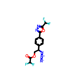 [N-]=[N+]=NC(COC(=O)C(F)F)c1ccc(-c2nnc(C(F)F)o2)cc1